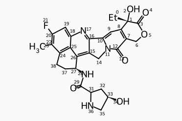 CC[C@@]1(O)C(=O)OCc2c1cc1n(c2=O)Cc2c-1nc1cc(F)c(C)c3c1c2[C@@H](NC(=O)C1C[C@@H](O)CN1)CC3